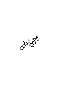 Cc1cc(Nc2ncnc3ccc(NC4=NCCO4)cc23)ccc1Oc1c(F)cccc1F